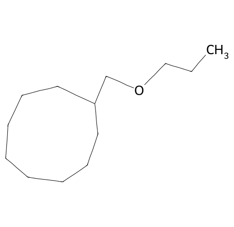 CCCOCC1CCCCCCCC1